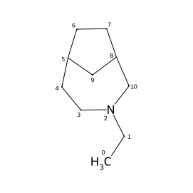 CCN1CCC2CCC(C2)C1